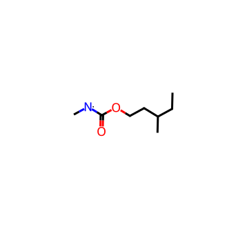 CCC(C)CCOC(=O)[N]C